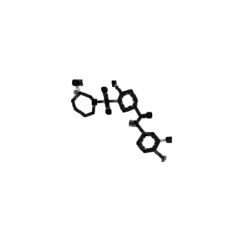 O=C(Nc1ccc(F)c(Cl)c1)c1ccc(F)c(S(=O)(=O)N2CCCC[C@H](O)C2)c1